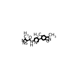 Cc1cc2c(C)noc2cc1-c1ccc(NC(=O)c2snnc2C)nc1